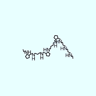 CCNCCCNCCCNCC1CCCC1NCCCCNC1CCCC1CNCCCNCC1CCCC1NCC